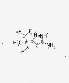 CC(CF)(c1cc(N)[nH]n1)C(F)F